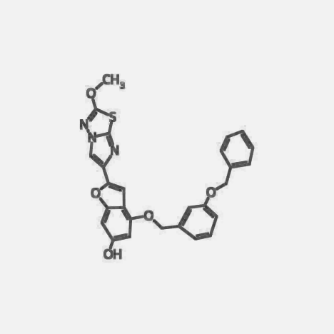 COc1nn2cc(-c3cc4c(OCc5cccc(OCc6ccccc6)c5)cc(O)cc4o3)nc2s1